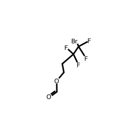 O=COCCC(F)(F)C(F)(F)Br